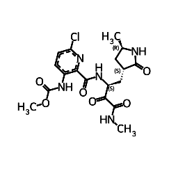 CNC(=O)C(=O)[C@H](C[C@@H]1C[C@@H](C)NC1=O)NC(=O)c1nc(Cl)ccc1NC(=O)OC